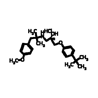 COc1ccc(CC(C)(C)NC[C@H](O)COc2ccc(C(C)(C)C)cc2)cc1.Cl